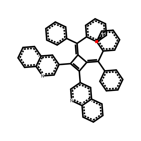 c1ccc(C(=C2C(=C(c3ccccc3)c3ccccc3)C(c3cnc4ccccc4c3)=C2c2cnc3ccccc3c2)c2ccccc2)cc1